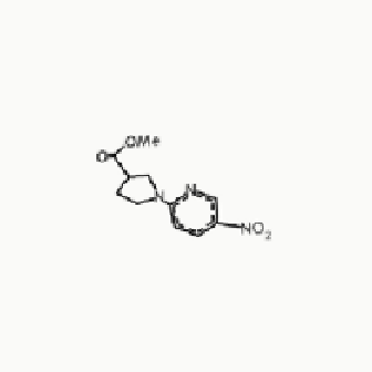 COC(=O)C1CCN(c2ccc([N+](=O)[O-])cn2)C1